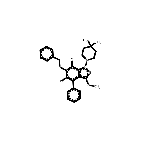 COc1nn(N2CCC(C)(C)CC2)c2c(F)c(OCc3ccccc3)c(F)c(-c3ccccc3)c12